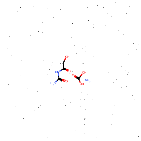 N.NC(=O)NC(=O)CO.O=C(O)O